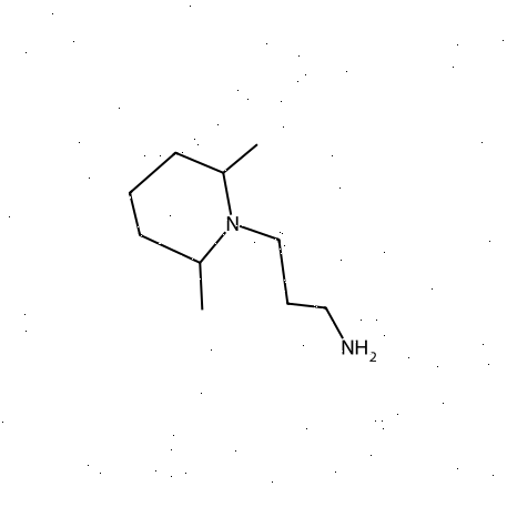 CC1CCCC(C)N1CCCN